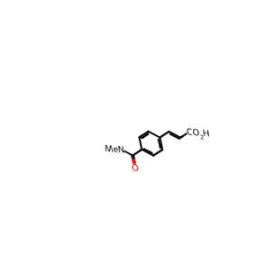 CNC(=O)c1ccc(C=CC(=O)O)cc1